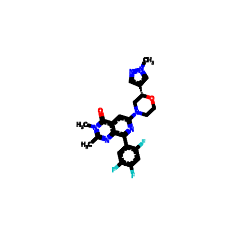 Cc1nc2c(-c3cc(F)c(F)cc3F)nc(N3CCO[C@@H](c4cnn(C)c4)C3)cc2c(=O)n1C